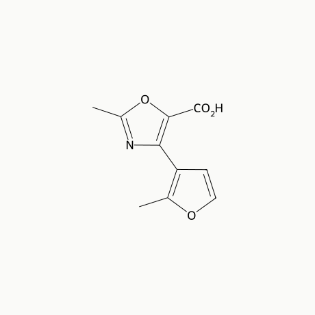 Cc1nc(-c2ccoc2C)c(C(=O)O)o1